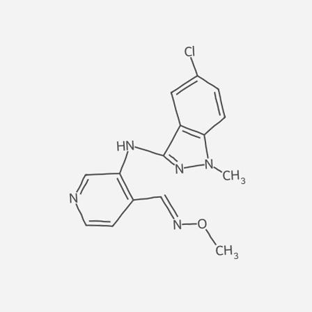 CON=Cc1ccncc1Nc1nn(C)c2ccc(Cl)cc12